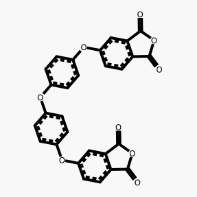 O=C1OC(=O)c2cc(Oc3ccc(Oc4ccc(Oc5ccc6c(c5)C(=O)OC6=O)cc4)cc3)ccc21